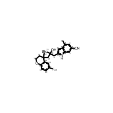 Cc1cc(C#N)cc2[nH]c(CC(O)(CC3(C)CCOc4ccc(F)cc43)C(C)(C)C)cc12